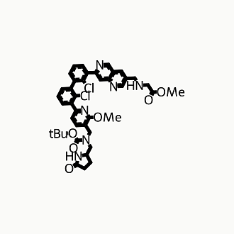 COC(=O)CNCc1cnc2cc(-c3cccc(-c4cccc(-c5ccc(CN(CC6CCC(=O)N6)C(=O)OC(C)(C)C)c(OC)n5)c4Cl)c3Cl)ncc2c1